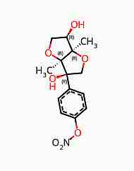 C[C@]12OC[C@@H](O)[C@@]1(C)OC[C@]2(O)c1ccc(O[N+](=O)[O-])cc1